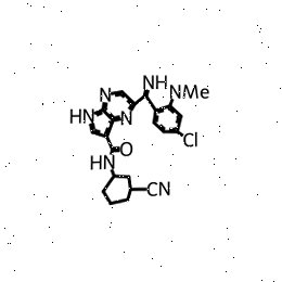 CNc1cc(Cl)ccc1C(=N)c1cnc2[nH]cc(C(=O)NC3CCCC(C#N)C3)c2n1